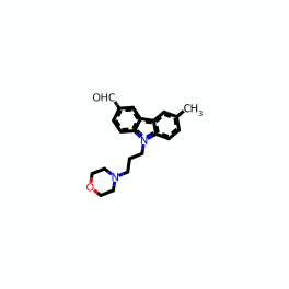 Cc1ccc2c(c1)c1cc(C=O)ccc1n2CCCN1CCOCC1